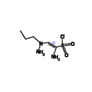 CCCN(N)/C=C(\N)S(=O)(=O)Cl